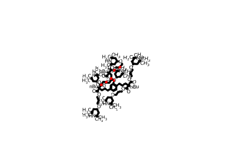 CCCCC(CCCc1ccc(CCCC(CCCC)(C(=O)OCCCOC2CC(C)(C)NC(C)(C)C2)C(=O)OCCCOC2CC(C)(C)NC(C)(C)C2)c(CCCC(CCCC)(C(=O)OCCCOC2CC(C)(C)NC(C)(C)C2)C(=O)OCCCOC2CC(C)(C)NC(C)(C)C2)c1)(C(=O)OCCCOC1CC(C)(C)NC(C)(C)C1)C(=O)OCCCOC1CC(C)(C)NC(C)(C)C1